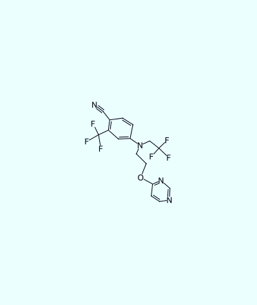 N#Cc1ccc(N(CCOc2ccncn2)CC(F)(F)F)cc1C(F)(F)F